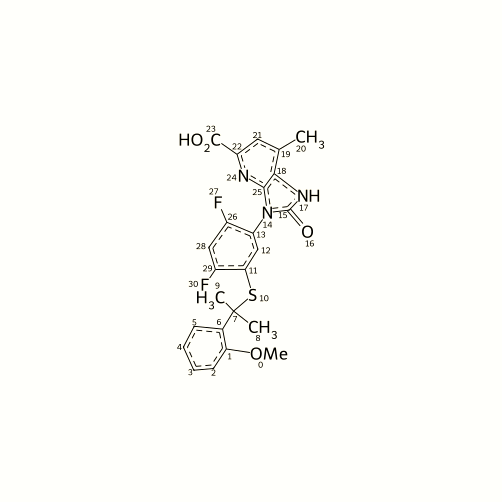 COc1ccccc1C(C)(C)Sc1cc(-n2c(=O)[nH]c3c(C)cc(C(=O)O)nc32)c(F)cc1F